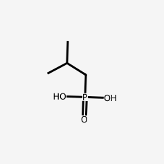 CC(C)CP(=O)(O)O